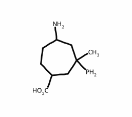 CC1(P)CC(N)CCC(C(=O)O)C1